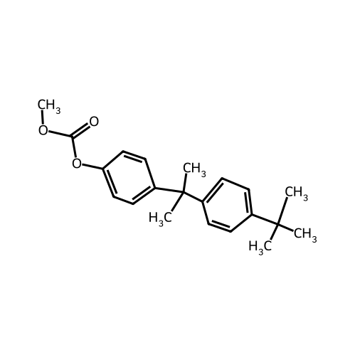 COC(=O)Oc1ccc(C(C)(C)c2ccc(C(C)(C)C)cc2)cc1